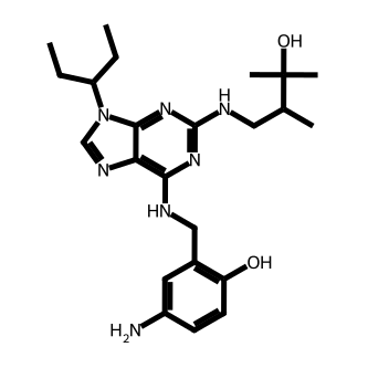 CCC(CC)n1cnc2c(NCc3cc(N)ccc3O)nc(NCC(C)C(C)(C)O)nc21